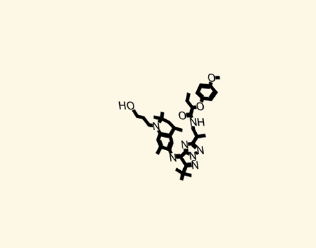 CCC(Oc1ccc(OC)cc1)C(=O)NCC(C)c1nc2n(n1)N=C(C(C)(C)C)/C2=N/c1cc2c(cc1C)N(CCCO)C(C)(C)CC2C